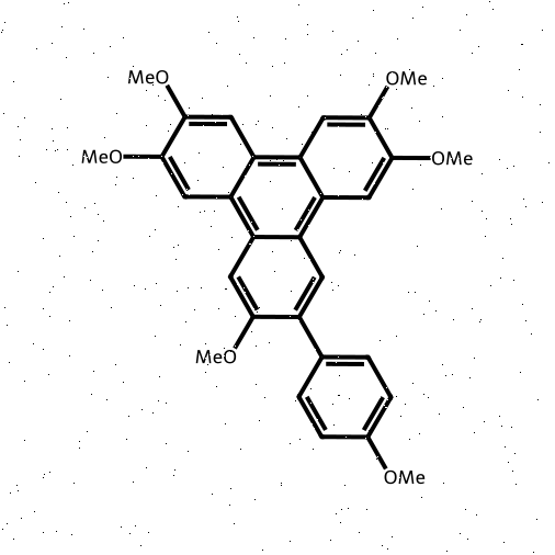 COc1ccc(-c2cc3c4cc(OC)c(OC)cc4c4cc(OC)c(OC)cc4c3cc2OC)cc1